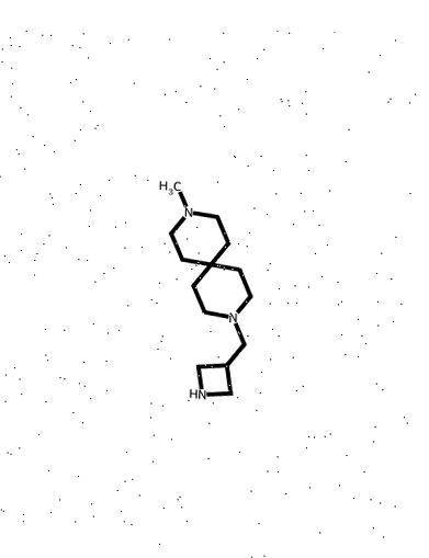 CN1CCC2(CC1)CCN(CC1CNC1)CC2